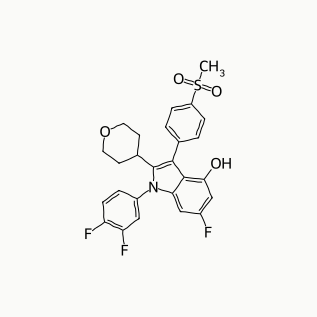 CS(=O)(=O)c1ccc(-c2c(C3CCOCC3)n(-c3ccc(F)c(F)c3)c3cc(F)cc(O)c23)cc1